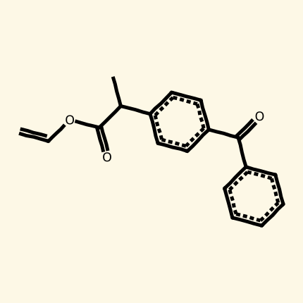 C=COC(=O)C(C)c1ccc(C(=O)c2ccccc2)cc1